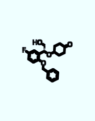 O=C1CCC(O[C@@H](CO)c2cc(F)ccc2OCc2ccccc2)CC1